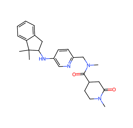 CN1CCC(C(=O)N(C)Cc2ccc(NC3Cc4ccccc4C3(C)C)cn2)CC1=O